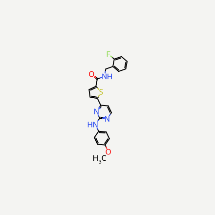 COc1ccc(Nc2nccc(-c3ccc(C(=O)NCc4ccccc4F)s3)n2)cc1